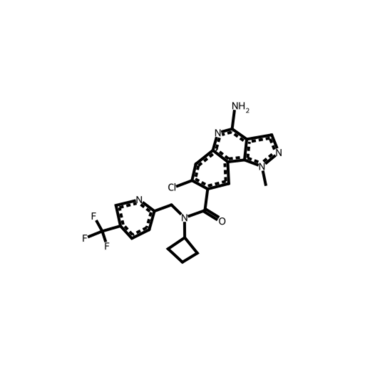 Cn1ncc2c(N)nc3cc(Cl)c(C(=O)N(Cc4ccc(C(F)(F)F)cn4)C4CCC4)cc3c21